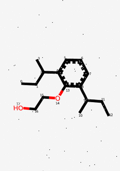 CCC(C)c1cccc(C(C)CC)c1OCCO